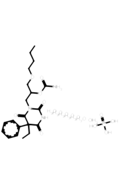 CCCCOCC(CN1C(=O)NC(=O)C(CC)(c2ccccc2)C1=O)OC(N)=O.O.O.O.O.O.O.O.O=P(O)(O)O